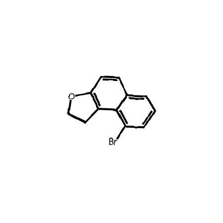 Brc1cccc2ccc3c(c12)CCO3